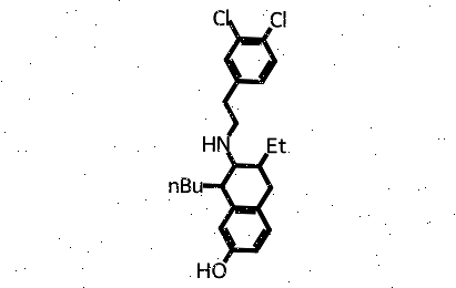 CCCCC1c2cc(O)ccc2CC(CC)C1NCCc1ccc(Cl)c(Cl)c1